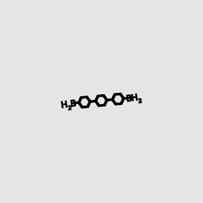 BC1CCC(C2CCC(C3CCC(B)CC3)CC2)CC1